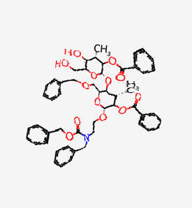 C[C@@H]1C(OC(=O)c2ccccc2)[C@H](O[C@@H]2C(COCc3ccccc3)O[C@@H](OCCN(Cc3ccccc3)C(=O)OCc3ccccc3)C(OC(=O)c3ccccc3)[C@H]2C)OC(CO)[C@H]1O